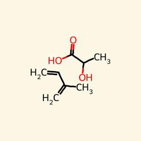 C=CC(=C)C.CC(O)C(=O)O